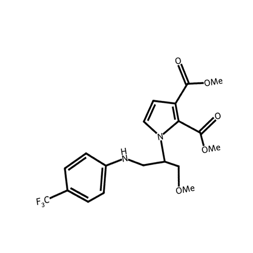 COCC(CNc1ccc(C(F)(F)F)cc1)n1ccc(C(=O)OC)c1C(=O)OC